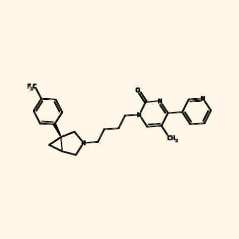 Cc1cn(CCCCN2CC3C[C@]3(c3ccc(C(F)(F)F)cc3)C2)c(=O)nc1-c1cccnc1